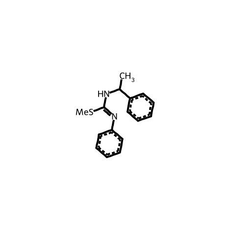 CS/C(=N\c1ccccc1)NC(C)c1ccccc1